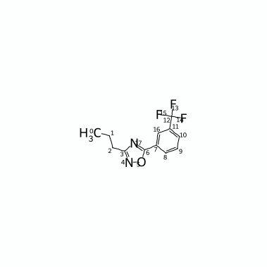 CCCc1noc(-c2cccc(C(F)(F)F)c2)n1